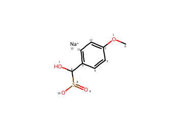 COc1ccc(C(O)S(=O)[O-])cc1.[Na+]